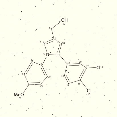 COc1ccc(-n2nc(CO)cc2-c2ccc(Cl)c(Cl)c2)cc1